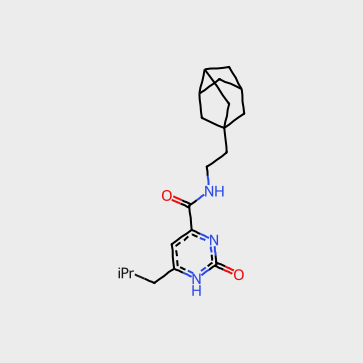 CC(C)Cc1cc(C(=O)NCCC23CC4CC(C2)C(C4)C3)nc(=O)[nH]1